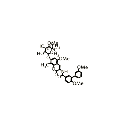 COc1cccc(-c2cc(C(=O)Nc3cc4c(OC)cc(O[C@@H]5OC(C)(C)[C@H](OC)[C@@H](O)[C@H]5O)c(C)c4oc3=O)ccc2OC)c1